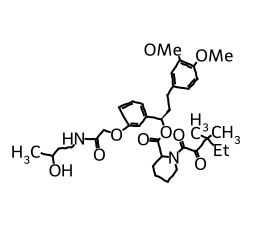 CCC(C)(C)C(=O)C(=O)N1CCCCC1C(=O)O[C@H](CCc1ccc(OC)c(OC)c1)c1cccc(OCC(=O)NCCC(C)O)c1